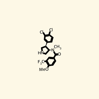 COc1ccc(C(=O)N(C)[C@@H]2CNC[C@H]2c2ccc(Cl)c(Cl)c2)cc1C(F)(F)F